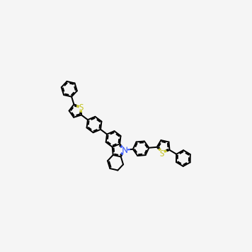 C1=Cc2c(n(-c3ccc(-c4ccc(-c5ccccc5)s4)cc3)c3ccc(-c4ccc(-c5ccc(-c6ccccc6)s5)cc4)cc23)CC1